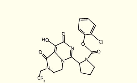 O=C1c2c(O)c(=O)nc(C3CCCN3C(=O)Oc3ccccc3Cl)n2CCN1CC(F)(F)F